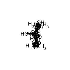 CN1C(=O)C(N=Nc2ccc(-c3ccc(N=NC4C(=O)N(C)C(O)N(C)C4=O)cc3S(=O)(=O)NCCCO)c([SH](=O)=O)c2)C(=O)N(C)C1=O